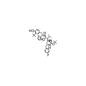 CC(C)C(NCC(Cc1ccc(F)cc1)NC(=O)OC(C)(C)C)C(=O)NC(Cc1ccc(O)c(C(C)(C)C)c1)c1nccs1